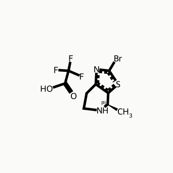 C[C@H]1NCCc2nc(Br)sc21.O=C(O)C(F)(F)F